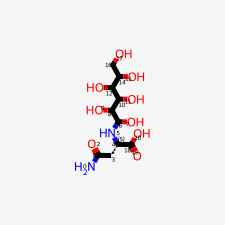 NC(=O)C[C@H](NC(O)C(O)C(O)C(O)C(O)CO)C(=O)O